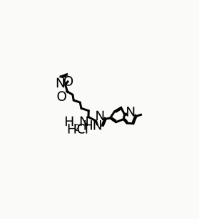 Cc1ccc2cc(-c3c[nH]c([C@@H](N)CCCCCC(=O)c4ncco4)n3)ccc2n1.Cl